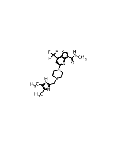 CNC(=O)c1csc2c(C(F)(F)F)cc(N3CCN(Cc4nc(C)c(C)[nH]4)CC3)nc12